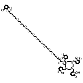 O=C(CCOCCOCCOCCOCCOCCOCCOCCOCCOCCOCCOCCOCCC(=O)Oc1c(Cl)cccc1Cl)NCC1CN(Cc2cccc(=O)n2O)CCN(Cc2cccc(=O)n2O)CCN(Cc2cccc(=O)n2O)CCN1Cc1cccc(=O)n1O